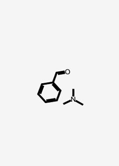 CN(C)C.O=Cc1ccccc1